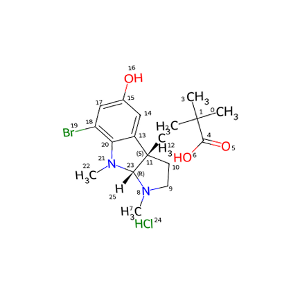 CC(C)(C)C(=O)O.CN1CC[C@@]2(C)c3cc(O)cc(Br)c3N(C)[C@@H]12.Cl